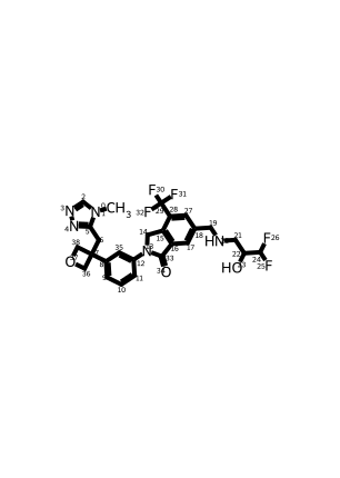 Cn1cnnc1CC1(c2cccc(N3Cc4c(cc(CNCC(O)C(F)F)cc4C(F)(F)F)C3=O)c2)COC1